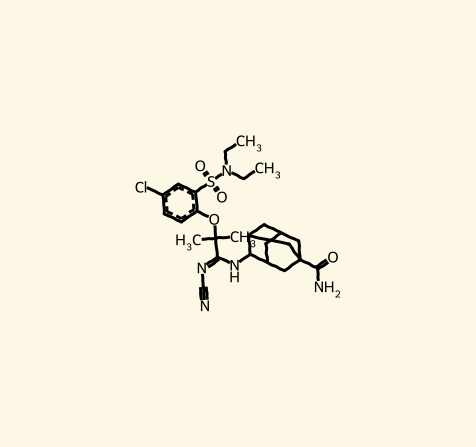 CCN(CC)S(=O)(=O)c1cc(Cl)ccc1OC(C)(C)/C(=N/C#N)NC1C2CC3CC1CC(C(N)=O)(C3)C2